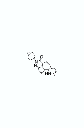 O=c1c2ccc3c(c4ccc(nn1C1CCOCC1)c2-4)NN=CC=3